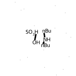 CCCCNCCCC.O=S(=O)(O)O